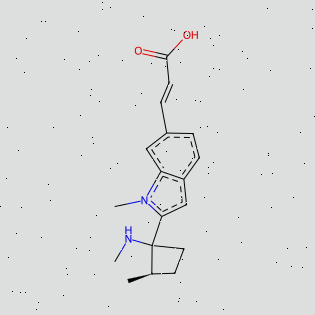 CNC1(c2cc3ccc(/C=C/C(=O)O)cc3n2C)CC[C@H]1C